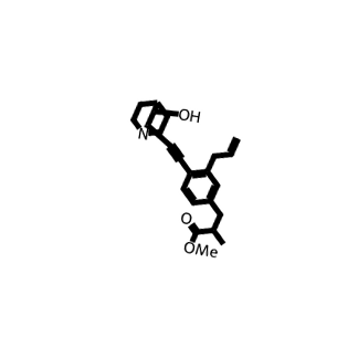 C=CCc1cc(CC(C)C(=O)OC)ccc1C#CC1C(O)C2CCN1CC2